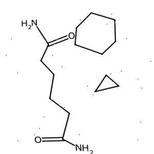 C1CC1.C1CCCCC1.NC(=O)CCCCC(N)=O